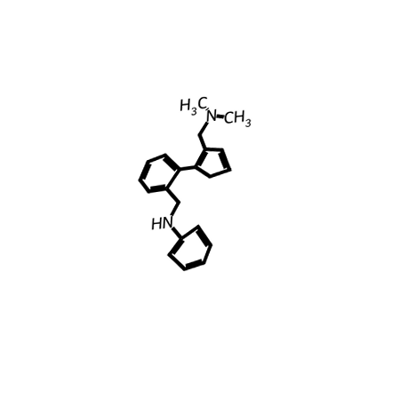 CN(C)CC1=C(c2ccccc2CNc2ccccc2)CC=C1